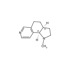 CN1CC[C@@H]2CCc3cnccc3[C@@H]21